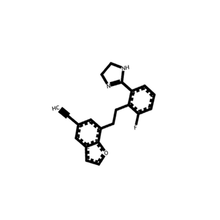 C#Cc1cc(CCc2c(F)cccc2C2=NCCN2)c2occc2c1